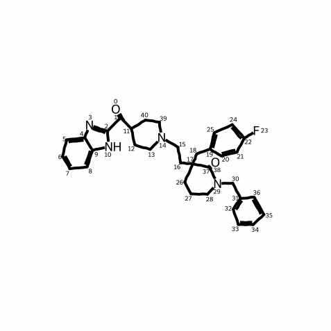 O=C(c1nc2ccccc2[nH]1)C1CCN(CCC2(Cc3ccc(F)cc3)CCCN(Cc3ccccc3)C2=O)CC1